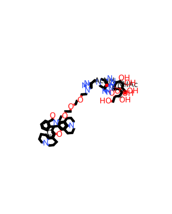 CC(=O)NC1[C@@H](O)[C@H](O)C(CO)O[C@@H]1n1cc(CN(Cc2cn(CCOCCOCCOCCN3C(=O)c4ccccc4C34c3cc5c6c(c3Oc3c4cc4c7c3CCCN7CCC4)CCCN6CCC5)nn2)Cc2cn([C@H]3OC(CO)[C@H](O)[C@@H](O)C3NC(C)=O)nn2)nn1